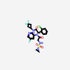 O=C(NC1CC(F)(F)C1)[C@@H](c1ccccc1Cl)N(C(=O)CNS(=O)(=O)N1CC1)c1cncc(F)c1